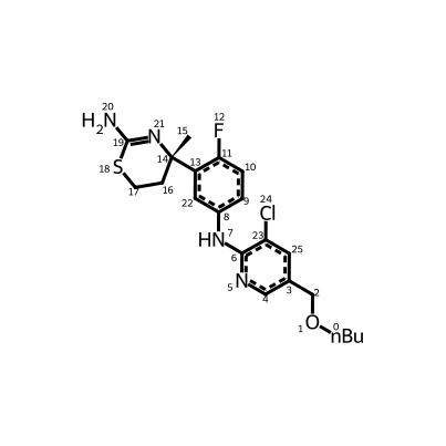 CCCCOCc1cnc(Nc2ccc(F)c([C@]3(C)CCSC(N)=N3)c2)c(Cl)c1